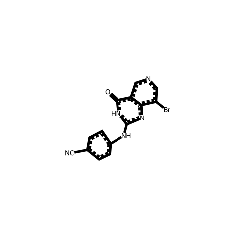 N#Cc1ccc(Nc2nc3c(Br)cncc3c(=O)[nH]2)cc1